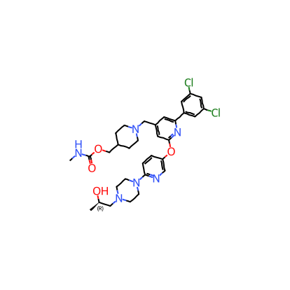 CNC(=O)OCC1CCN(Cc2cc(Oc3ccc(N4CCN(C[C@@H](C)O)CC4)nc3)nc(-c3cc(Cl)cc(Cl)c3)c2)CC1